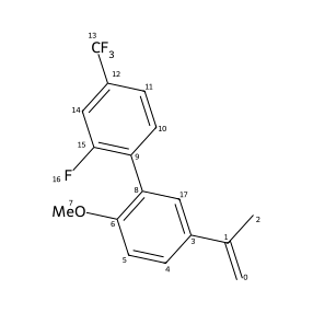 C=C(C)c1ccc(OC)c(-c2ccc(C(F)(F)F)cc2F)c1